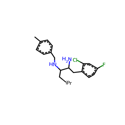 Cc1ccc(CNC(CC(C)C)C(N)Cc2ccc(F)cc2Cl)cc1